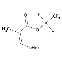 CCCCCCC=C(C)C(=O)OC(F)(F)C(F)(F)F